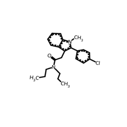 CCCN(CCC)C(=O)Cc1c(-c2ccc(Cl)cc2)n(C)c2ccccc12